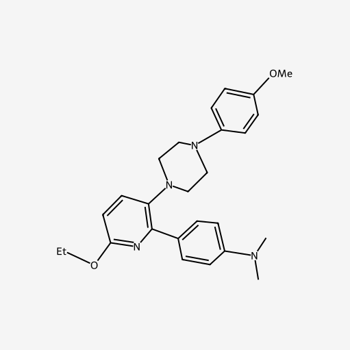 CCOc1ccc(N2CCN(c3ccc(OC)cc3)CC2)c(-c2ccc(N(C)C)cc2)n1